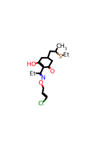 CCSC(C)CC1CC(=O)C(C(CC)=NOC/C=C/Cl)=C(O)C1